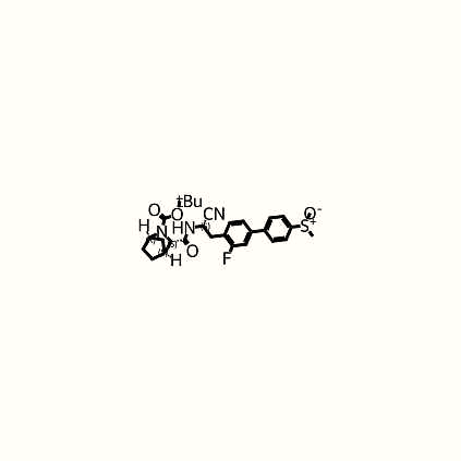 C[S+]([O-])c1ccc(-c2ccc(C[C@@H](C#N)NC(=O)[C@@H]3[C@H]4CC[C@H](C4)N3C(=O)OC(C)(C)C)c(F)c2)cc1